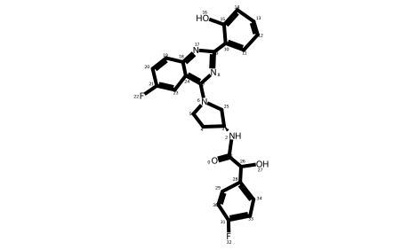 O=C(N[C@@H]1CCN(c2nc(-c3ccccc3O)nc3ccc(F)cc23)C1)C(O)c1ccc(F)cc1